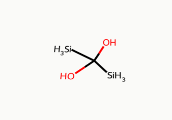 OC(O)([SiH3])[SiH3]